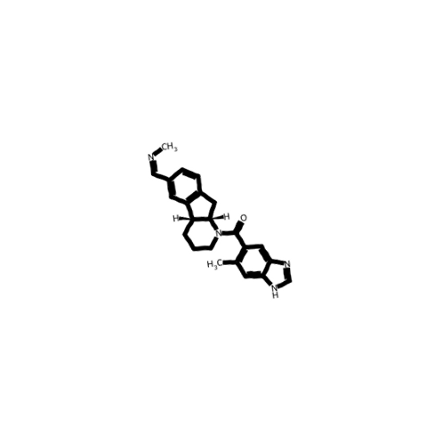 C/N=C\c1ccc2c(c1)[C@H]1CCCN(C(=O)c3cc4nc[nH]c4cc3C)[C@H]1C2